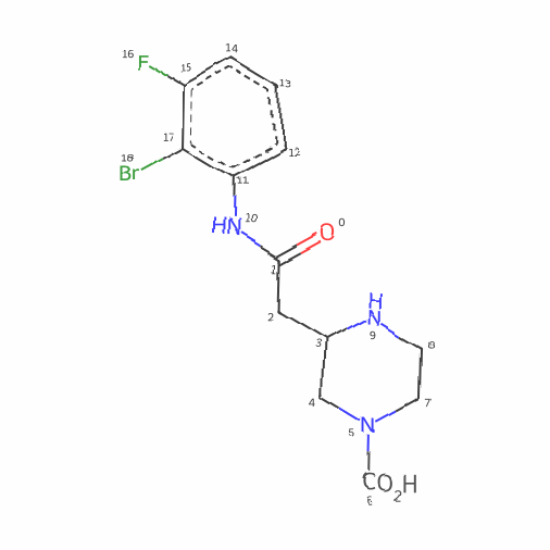 O=C(CC1CN(C(=O)O)CCN1)Nc1cccc(F)c1Br